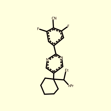 CCCC(CC)C1(c2cnc(-c3cc(F)c(C#N)c(F)c3)nc2)CCCCC1